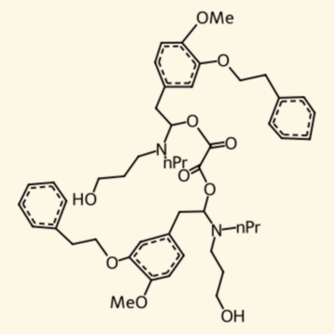 CCCN(CCCO)C(Cc1ccc(OC)c(OCCc2ccccc2)c1)OC(=O)C(=O)OC(Cc1ccc(OC)c(OCCc2ccccc2)c1)N(CCC)CCCO